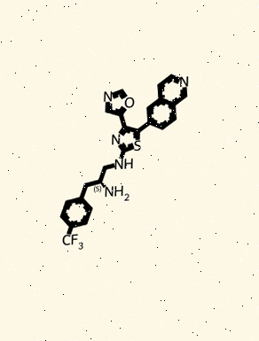 N[C@H](CNc1nc(-c2cnco2)c(-c2ccc3cnccc3c2)s1)Cc1ccc(C(F)(F)F)cc1